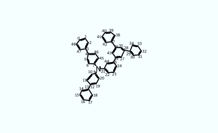 c1ccc(-c2ccc(N(c3ccc(-c4ccccc4)cc3)c3cccc(-c4cc(-c5ccccc5)cc(-c5ccccc5)c4)c3)cc2)cc1